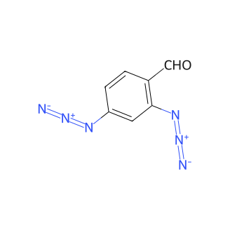 [N-]=[N+]=Nc1ccc(C=O)c(N=[N+]=[N-])c1